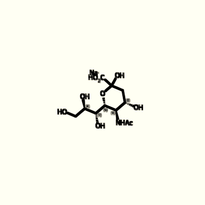 CC(=O)N[C@H]1[C@H]([C@H](O)[C@H](O)CO)OC(O)(C(=O)O)C[C@@H]1O.[Na]